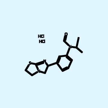 CC(C)N(C=O)c1cccc(C2CN3CCSC3=N2)c1.Cl.Cl